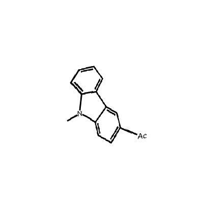 CC(=O)c1ccc2c(c1)c1ccccc1n2C